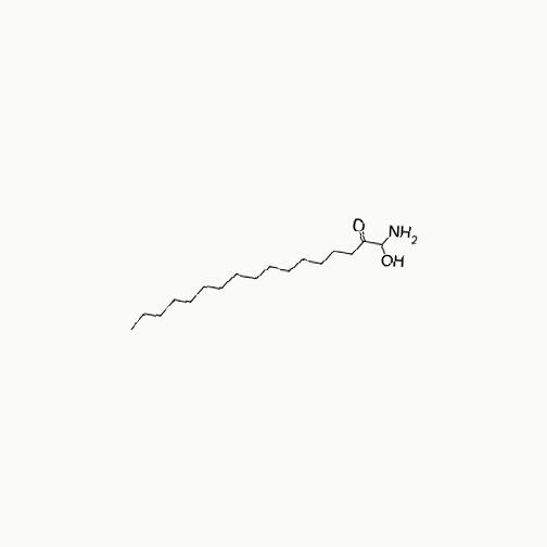 CCCCCCCCCCCCCCCC(=O)C(N)O